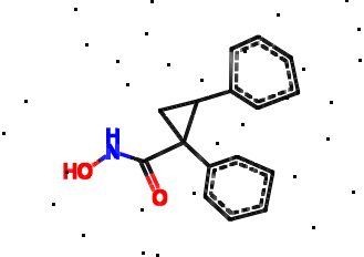 O=C(NO)C1(c2ccccc2)CC1c1ccccc1